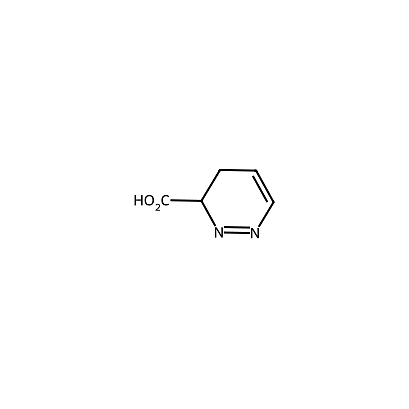 O=C(O)C1CC=CN=N1